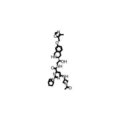 CC(=O)N1CC(Nc2cc(C(=O)NCC(O)[C@@H]3Cc4ccc(OCc5ocnc5C)cc4CN3)nc(N3CC4CCC3C4)n2)C1